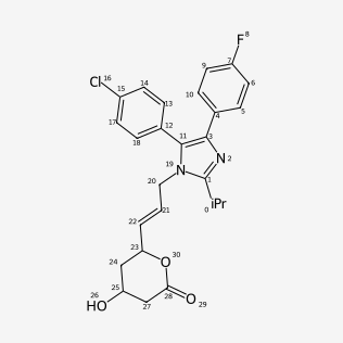 CC(C)c1nc(-c2ccc(F)cc2)c(-c2ccc(Cl)cc2)n1CC=CC1CC(O)CC(=O)O1